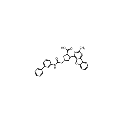 Cc1nc(N2C[C@@H](CC(=O)Nc3cccc(-c4ccccc4)c3)C[C@H]2C(=O)O)c2oc3ccccc3c2n1